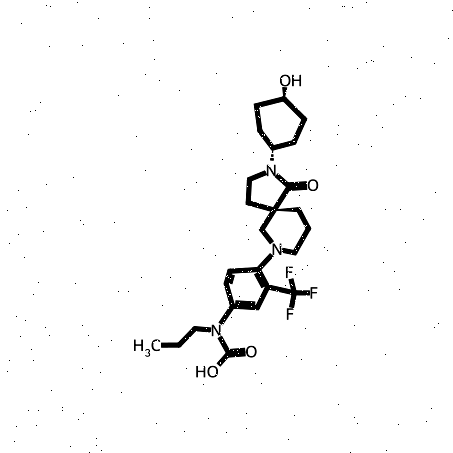 CCCN(C(=O)O)c1ccc(N2CCC[C@]3(CCN([C@H]4CC[C@H](O)CC4)C3=O)C2)c(C(F)(F)F)c1